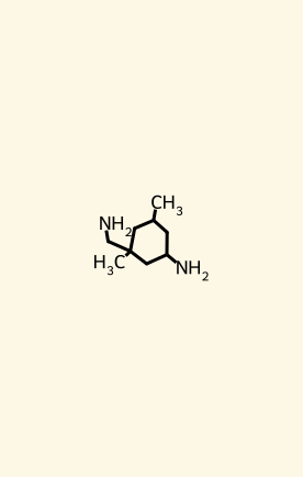 CC1CC(N)CC(C)(CN)C1